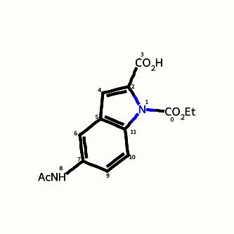 CCOC(=O)n1c(C(=O)O)cc2cc(NC(C)=O)ccc21